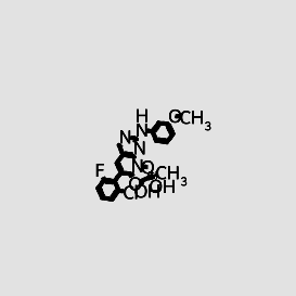 COc1cccc(Nc2ncc3cc(-c4c(F)cccc4Cl)c(=O)n(O[C@](C)(O)CO)c3n2)c1